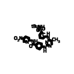 Cc1cnc(Nc2ccc(C(=O)Nc3ccc([N+](=O)[O-])cn3)cc2)nc1Nc1cccc(S(=O)(=O)NC(C)(C)C)c1